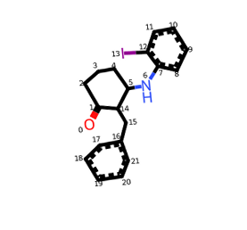 O=C1CCCC(Nc2ccccc2I)C1Cc1ccccc1